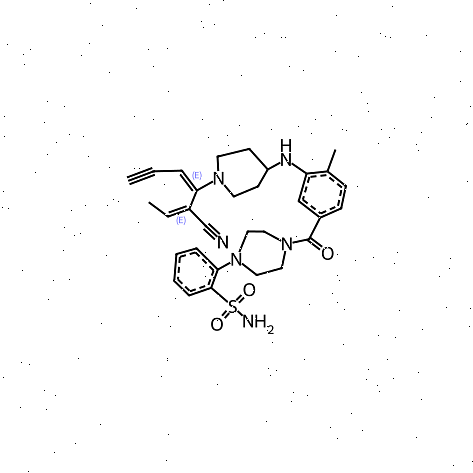 C#C/C=C(\C(C#N)=C/C)N1CCC(Nc2cc(C(=O)N3CCN(c4ccccc4S(N)(=O)=O)CC3)ccc2C)CC1